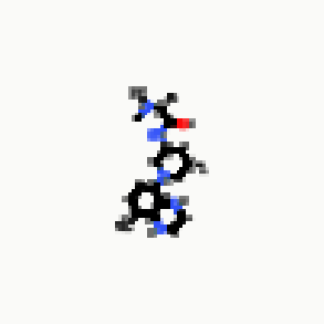 CCN(C)[C@H](C)C(=O)N[C@@H]1C[C@H](C)CN(c2ccc(C#N)c3nccnc23)C1